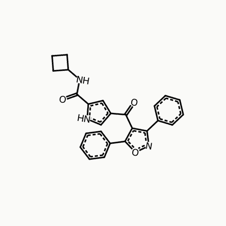 O=C(NC1CCC1)c1cc(C(=O)c2c(-c3ccccc3)noc2-c2ccccc2)c[nH]1